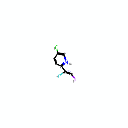 F/C(=C\I)c1ccc(Cl)cn1